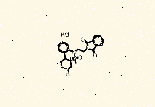 CS(=O)(=O)N(CCN1C(=O)c2ccccc2C1=O)c1ccccc1C1CCNCC1.Cl